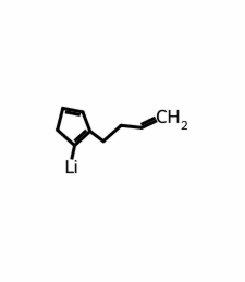 [Li][C]1=C(CCC=C)C=CC1